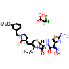 COc1cccc(CN2CC/C(=C\C3=C(C(=O)O)N4C(=O)[C@@H](NC(=O)/C(=N\O)c5csc(N)n5)[C@H]4SC3)C2=O)c1.O=C(O)C(F)(F)F